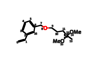 C=Cc1cccc(COCCC[Si](C)(OC)OC)c1